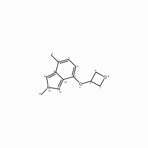 Cc1ccc(OC2COC2)c2nn(C)cc12